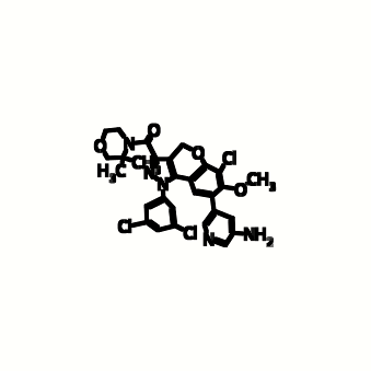 COc1c(-c2cncc(N)c2)cc2c(c1Cl)OCc1c(C(=O)N3CCOCC3(C)C)nn(-c3cc(Cl)cc(Cl)c3)c1-2